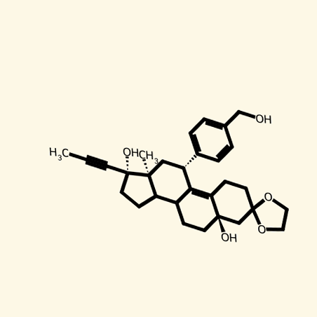 CC#C[C@]1(O)CCC2C3CC[C@@]4(O)CC5(CCC4=C3[C@@H](c3ccc(CO)cc3)C[C@@]21C)OCCO5